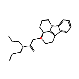 CCCN(CCC)C(=O)CCC12CCCn3c1c(c1ccccc13)CCO2